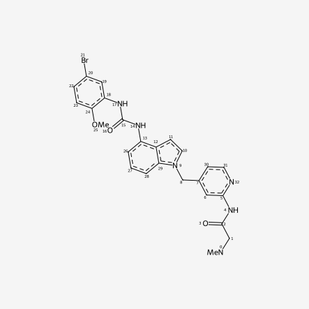 CNCC(=O)Nc1cc(Cn2ccc3c(NC(=O)Nc4cc(Br)ccc4OC)cccc32)ccn1